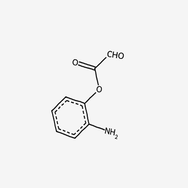 Nc1ccccc1OC(=O)C=O